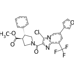 COC(=O)[C@@H]1CN(C(=O)c2nc3c(C(F)(F)F)cc(-c4ccoc4)cn3c2Cl)C[C@H]1c1ccccc1